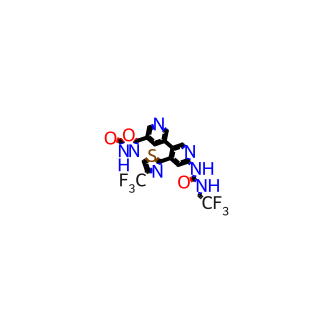 O=C(NCC(F)(F)F)Nc1cc(-c2nc(C(F)(F)F)cs2)c(-c2cncc(-c3n[nH]c(=O)o3)c2)cn1